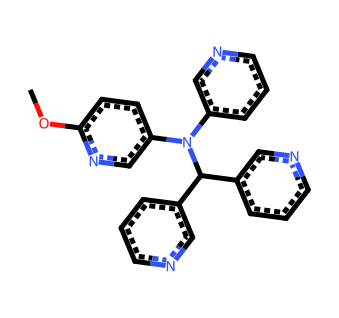 COc1ccc(N(c2cccnc2)C(c2cccnc2)c2cccnc2)cn1